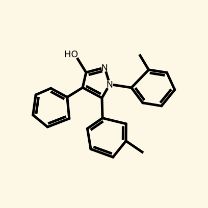 Cc1cccc(-c2c(-c3ccccc3)c(O)nn2-c2ccccc2C)c1